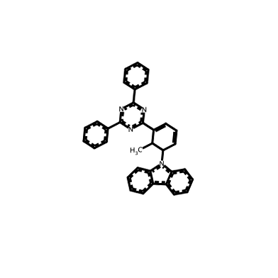 CC1C(c2nc(-c3ccccc3)nc(-c3ccccc3)n2)=CC=CC1n1c2ccccc2c2ccccc21